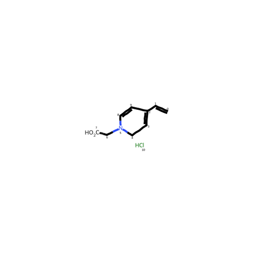 C=CC1=CCN(CC(=O)O)C=C1.Cl